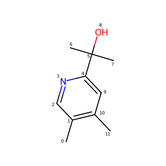 Cc1cnc(C(C)(C)O)cc1C